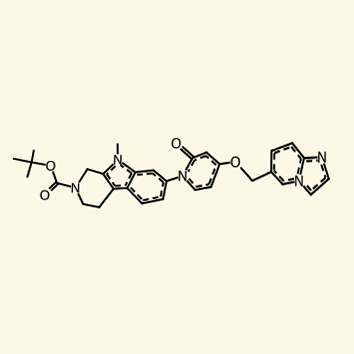 Cn1c2c(c3ccc(-n4ccc(OCc5ccc6nccn6c5)cc4=O)cc31)CCN(C(=O)OC(C)(C)C)C2